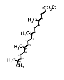 CCOC(=O)/C=C/C=C(\C)CC/C=C(\C)CC/C=C(\C)CCC=C(C)C